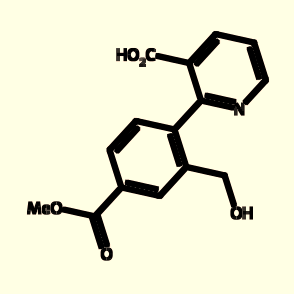 COC(=O)c1ccc(-c2ncccc2C(=O)O)c(CO)c1